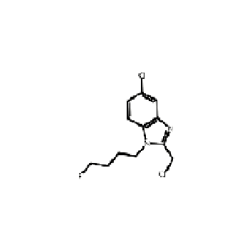 FCCCCn1c(CCl)nc2cc(Cl)ccc21